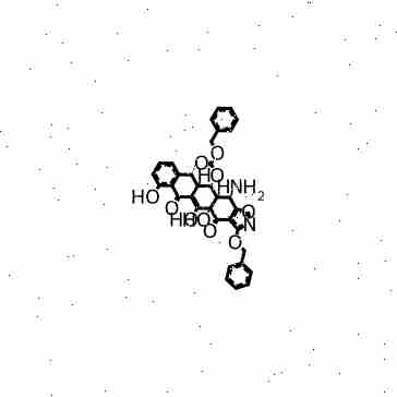 C[C@H]1c2cccc(O)c2C(=O)C2=C(O)[C@]3(O)C(=O)c4c(OCc5ccccc5)noc4[C@@H](N)[C@@H]3[C@@H](OC(=O)OCc3ccccc3)[C@@H]21